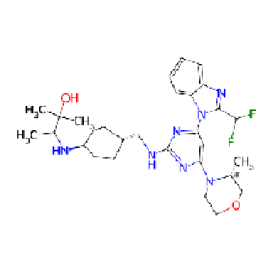 CC(N[C@H]1CC[C@H](CNc2nc(N3CCOC[C@H]3C)cc(-n3c(C(F)F)nc4ccccc43)n2)CC1)C(C)(C)O